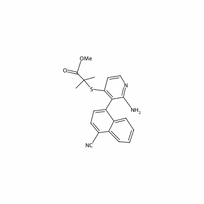 COC(=O)C(C)(C)Sc1ccnc(N)c1-c1ccc(C#N)c2ccccc12